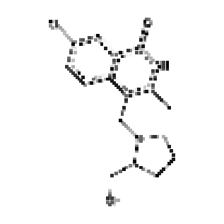 Cc1[nH]c(=O)c2cc(Cl)ccc2c1CN1CCCC1CO